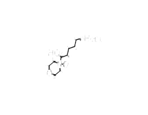 CCCCCCCCCCCC(O)[N+]1([O-])CCOCC1